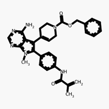 C=C(C)C(=O)Nc1ccc(-c2c(C3=CCN(C(=O)OCc4ccccc4)CC3)c3c(N)ncnc3n2C)cc1